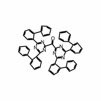 O=C(c1nc(-c2ccccc2-c2ccccc2)nc(-c2ccccc2-c2ccccc2)n1)c1nc(-c2ccccc2-c2ccccc2)nc(-c2ccccc2-c2ccccc2)n1